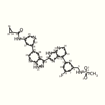 CS(=O)(=O)NCc1cc(F)cc(-c2ccnc3[nH]c(-c4n[nH]c5ncc(-c6cncc(NC(=O)C7CC7)c6)cc45)nc23)c1